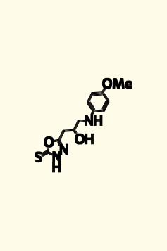 COc1ccc(NCC(O)Cc2n[nH]c(=S)o2)cc1